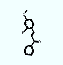 COc1ccc(C=CC(=O)c2ccccc2)c(F)c1